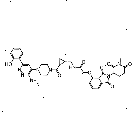 Nc1nnc(-c2ccccc2O)cc1N1CCN(C(=O)C2CC2CNC(=O)COc2cccc3c2C(=O)N(C2CCC(=O)NC2=O)C3=O)CC1